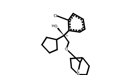 O[C@](COC1CN2CCC1CC2)(c1ccccc1Cl)C1CCCC1